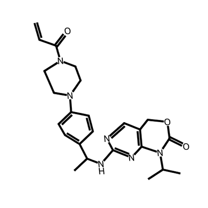 C=CC(=O)N1CCN(c2ccc(C(C)Nc3ncc4c(n3)N(C(C)C)C(=O)OC4)cc2)CC1